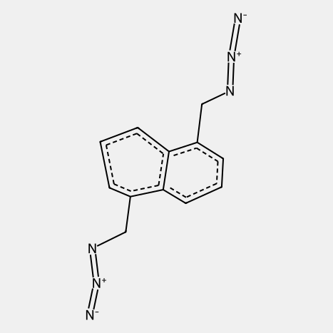 [N-]=[N+]=NCc1cccc2c(CN=[N+]=[N-])cccc12